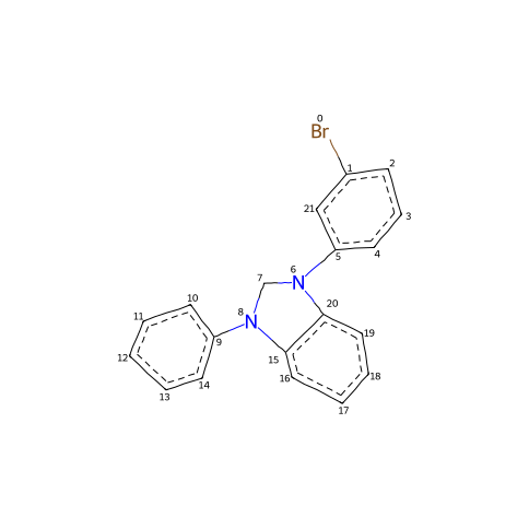 Brc1cccc(N2CN(c3ccccc3)c3ccccc32)c1